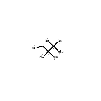 CCCCC(O)(CO)C(O)(CCCC)CCCC